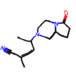 CC(C#N)=CC(C)N1CCN2C(=O)CCC2C1